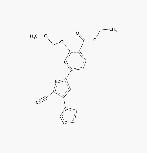 CCOC(=O)c1ccc(-n2cc(-c3ccsc3)c(C#N)n2)cc1OCOC